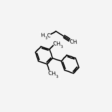 C#CCC.Cc1cccc(C)c1-c1ccccc1